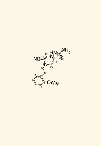 COc1ccccc1CCN1C=CN(NC(N)=S)C=C1C#N